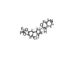 Cn1nc(C(=O)Nc2ccncc2F)cc1-c1cc2c(cc1Cl)OC(F)(F)O2